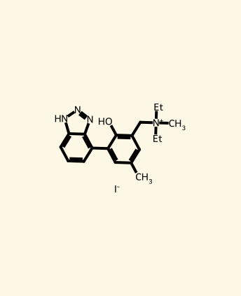 CC[N+](C)(CC)Cc1cc(C)cc(-c2cccc3[nH]nnc23)c1O.[I-]